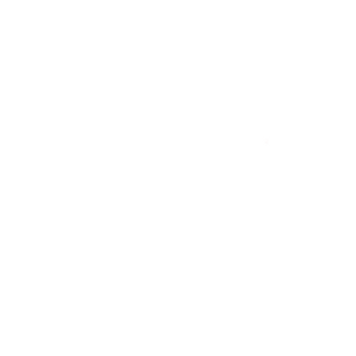 CCCCC1CCC(Br)CC1